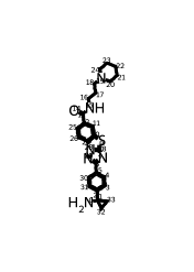 NC1(c2ccc(-c3nc4sc5cc(C(=O)NCCCN6CCCCC6)ccc5n4n3)cc2)CC1